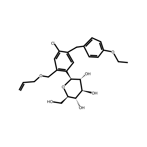 C=CCOCc1cc(Cl)c(Cc2ccc(OCC)cc2)cc1[C@@H]1O[C@H](CO)[C@@H](O)[C@H](O)[C@H]1O